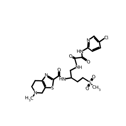 CN1CCc2nc(C(=O)NC(CCS(C)(=O)=O)CNC(=O)C(=O)Nc3ccc(Cl)cn3)sc2C1